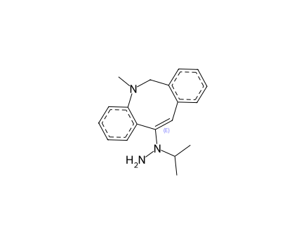 CC(C)N(N)/C1=C/c2ccccc2CN(C)c2ccccc21